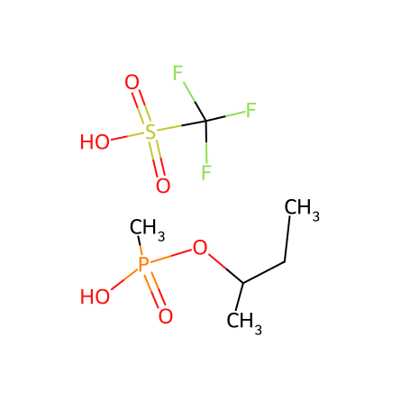 CCC(C)OP(C)(=O)O.O=S(=O)(O)C(F)(F)F